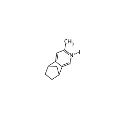 Cc1cc2c(c[n+]1I)C1CCC2C1